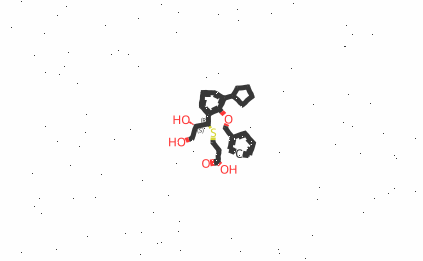 O=C(O)CCS[C@H](c1cccc(C2CCCC2)c1OCc1ccccc1)[C@@H](O)CO